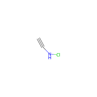 C#CNCl